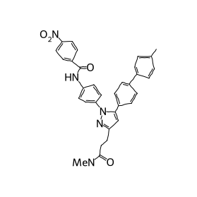 CNC(=O)CCc1cc(-c2ccc(-c3ccc(C)cc3)cc2)n(-c2ccc(NC(=O)c3ccc([N+](=O)[O-])cc3)cc2)n1